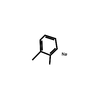 Cc1ccccc1C.[Na]